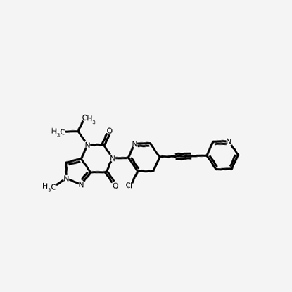 CC(C)n1c(=O)n(C2=C(Cl)CC(C#Cc3cccnc3)C=N2)c(=O)c2nn(C)cc21